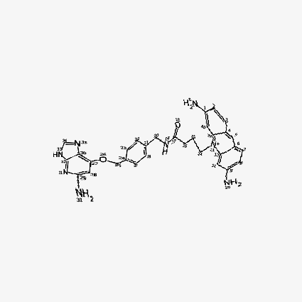 Nc1ccc2cc3ccc(N)cc3[n+](CCCC(=O)NCc3ccc(COc4cc(N)nc5[nH]cnc45)cc3)c2c1